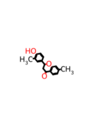 Cc1ccc2c(c1)OC(c1ccc(O)c(C)c1)CC2=O